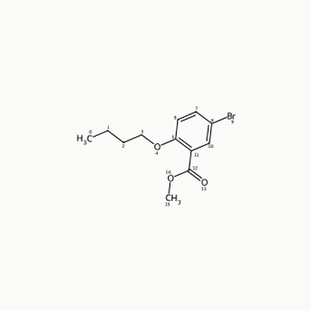 CCCCOc1ccc(Br)cc1C(=O)OC